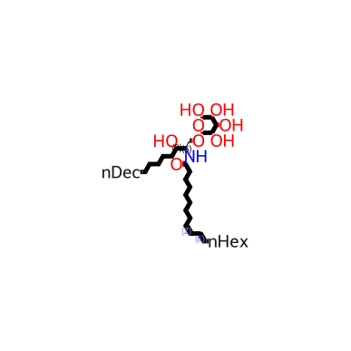 CCCCCC/C=C/C=C\CCCCCCCC(=O)N[C@@H](COC1OC(O)C(O)C(O)C1O)[C@H](O)CCCCCCCCCCCCCCC